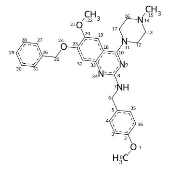 COc1ccc(CNc2nc(N3CCN(C)CC3)c3cc(OC)c(OCc4ccccc4)cc3n2)cc1